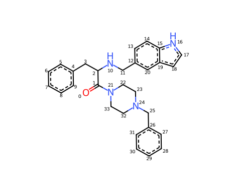 O=C(C(Cc1ccccc1)NCc1ccc2[nH]ccc2c1)N1CCN(Cc2ccccc2)CC1